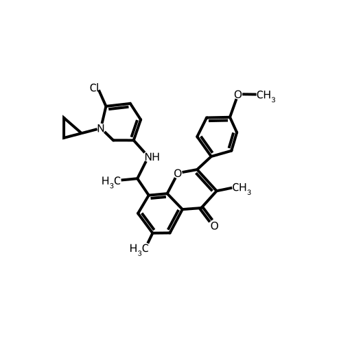 COc1ccc(-c2oc3c(C(C)NC4=CC=C(Cl)N(C5CC5)C4)cc(C)cc3c(=O)c2C)cc1